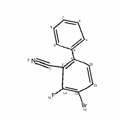 N#Cc1c(-c2ccccc2)ccc(Br)c1F